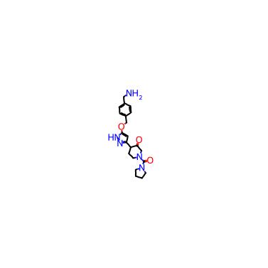 NCc1ccc(COc2cc(C3CCN(C(=O)N4CCCC4)CC3=O)n[nH]2)cc1